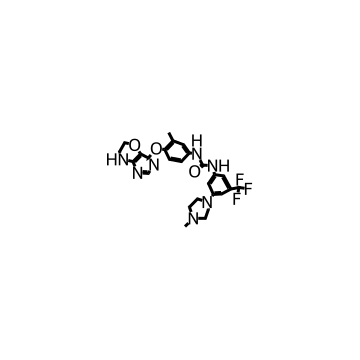 Cc1cc(NC(=O)Nc2cc(N3CCN(C)CC3)cc(C(F)(F)F)c2)ccc1Oc1ncnc2c1OCCN2